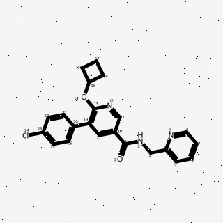 O=C(NCc1ccccn1)c1cnc(OC2CCC2)c(-c2ccc(Cl)cc2)c1